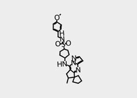 COc1ccc(CNS(=O)(=O)C2CCC(Nc3c4c(nc5ccnn35)C3(CCCC3)C(C)C4)CC2)cc1